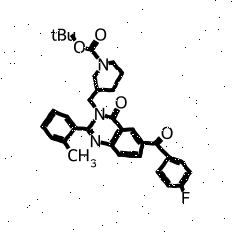 Cc1ccccc1-c1nc2ccc(C(=O)c3ccc(F)cc3)cc2c(=O)n1CC1CCCN(C(=O)OC(C)(C)C)C1